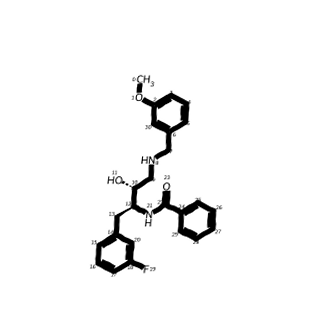 COc1cccc(CNC[C@@H](O)[C@H](Cc2cccc(F)c2)NC(=O)c2ccccc2)c1